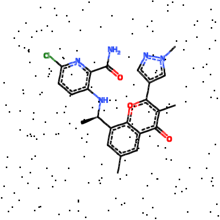 Cc1cc([C@@H](C)Nc2ccc(Cl)nc2C(N)=O)c2oc(-c3cnn(C)c3)c(C)c(=O)c2c1